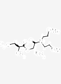 COCCN(CCOC)C(=O)[C@H](C)OC(=O)/C(C)=C/C(=O)O